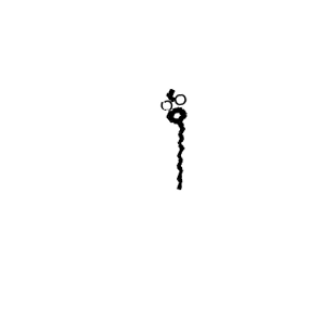 C=CC(=O)Oc1ccc(CCCCCCCCCCCC)cc1